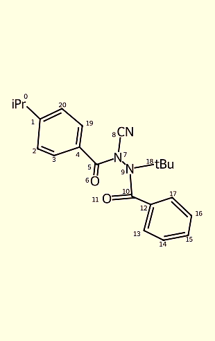 CC(C)c1ccc(C(=O)N(C#N)N(C(=O)c2ccccc2)C(C)(C)C)cc1